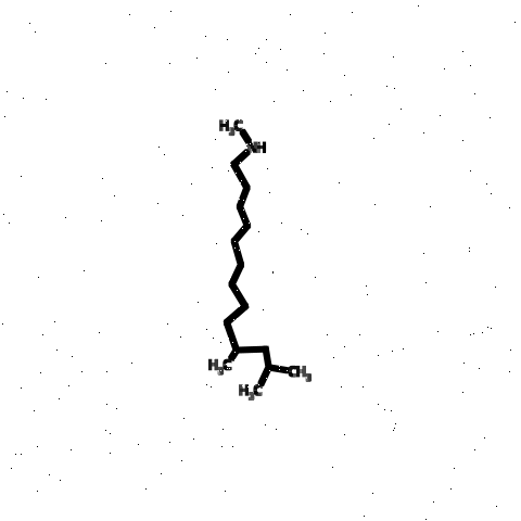 CNCCCCCCCCCC(C)CC(C)C